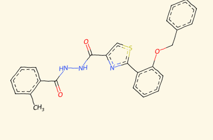 Cc1ccccc1C(=O)NNC(=O)c1csc(-c2ccccc2OCc2ccccc2)n1